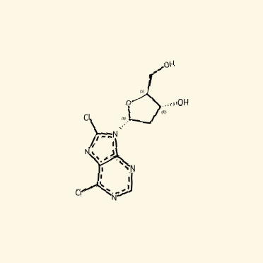 OC[C@@H]1O[C@@H](n2c(Cl)nc3c(Cl)ncnc32)C[C@H]1O